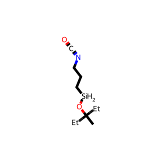 CCC(C)(CC)O[SiH2]CCCN=C=O